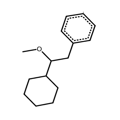 COC(Cc1cc[c]cc1)C1CCCCC1